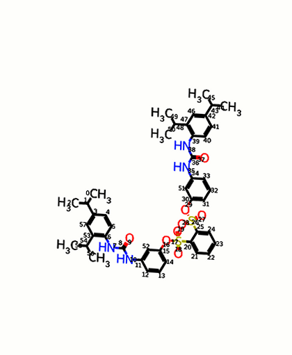 CC(C)c1ccc(NC(=O)Nc2cccc(OS(=O)(=O)c3ccccc3S(=O)(=O)Oc3cccc(NC(=O)Nc4ccc(C(C)C)cc4C(C)C)c3)c2)c(C(C)C)c1